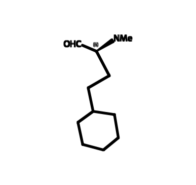 CN[C@H](C=O)CCC1CCCCC1